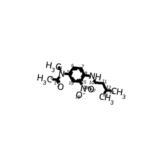 CC(=O)N(C)c1ccc(NCCC(C)C)c([N+](=O)[O-])c1